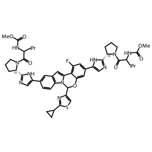 COC(=O)NC(C(=O)N1CCC[C@H]1c1ncc(-c2cc(F)c3c(c2)OC(c2csc(C4CC4)n2)n2c-3cc3cc(-c4cnc([C@@H]5CCCN5C(=O)C(NC(=O)OC)C(C)C)[nH]4)ccc32)[nH]1)C(C)C